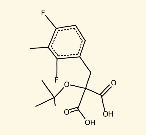 Cc1c(F)ccc(CC(OC(C)(C)C)(C(=O)O)C(=O)O)c1F